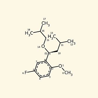 COc1ccc(F)cc1[C@H](CC(C)C)OCC(C)C